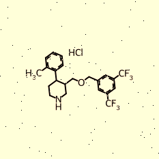 Cc1ccccc1C1CCNCC1COCc1cc(C(F)(F)F)cc(C(F)(F)F)c1.Cl